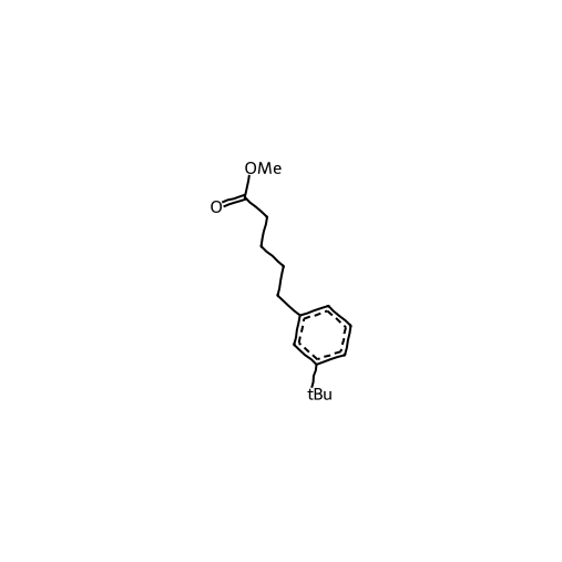 COC(=O)CCCCc1cccc(C(C)(C)C)c1